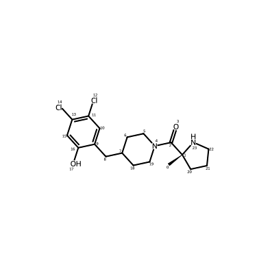 C[C@]1(C(=O)N2CCC(Cc3cc(Cl)c(Cl)cc3O)CC2)CCCN1